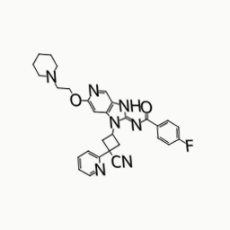 N#CC1(c2ccccn2)CC(n2/c(=N/C(=O)c3ccc(F)cc3)[nH]c3cnc(OCCN4CCCCC4)cc32)C1